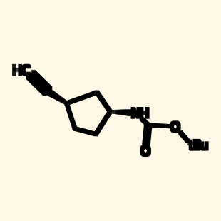 C#C[C@@H]1CC[C@H](NC(=O)OC(C)(C)C)C1